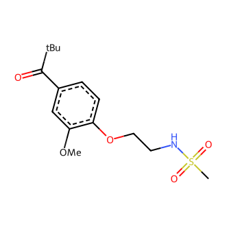 COc1cc(C(=O)C(C)(C)C)ccc1OCCNS(C)(=O)=O